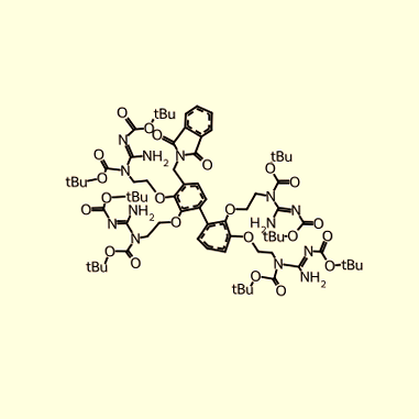 CC(C)(C)OC(=O)N=C(N)N(CCOc1cccc(-c2ccc(CN3C(=O)c4ccccc4C3=O)c(OCCN(C(=O)OC(C)(C)C)C(N)=NC(=O)OC(C)(C)C)c2OCCN(C(=O)OC(C)(C)C)C(N)=NC(=O)OC(C)(C)C)c1OCCN(C(=O)OC(C)(C)C)C(N)=NC(=O)OC(C)(C)C)C(=O)OC(C)(C)C